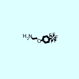 NCCOc1ccc(S(F)(F)(F)(F)F)cc1